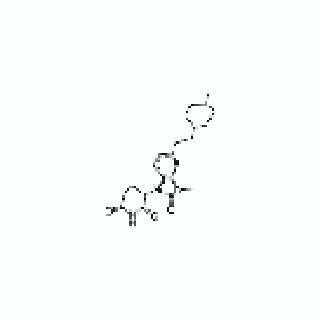 CC1CCC(CCc2ccc3c(c2)n(C)c(=O)n3C2CCC(=O)NC2=O)CC1